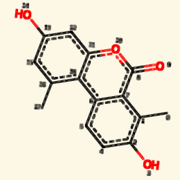 Cc1c(O)ccc2c1c(=O)oc1cc(O)cc(C)c12